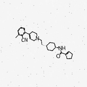 Cc1cccc(C2=CCN(CC[C@H]3CC[C@H](NC(=O)C4=CCCC4)CC3)CC2)c1C#N